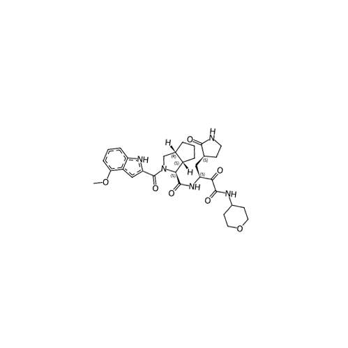 COc1cccc2[nH]c(C(=O)N3C[C@@H]4CCC[C@@H]4[C@H]3C(=O)N[C@@H](C[C@@H]3CCNC3=O)C(=O)C(=O)NC3CCOCC3)cc12